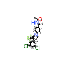 CC(=O)NC(C)c1ccc(N2CCC(c3cc(Cl)cc(Cl)c3)(C(F)(F)F)C2)cc1